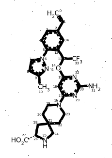 C=Cc1ccc(-n2ccc(C)n2)c(C(Oc2cc(N3CCC4(CC3)CN[C@H](C(=O)O)C4)nc(N)n2)C(F)(F)F)c1